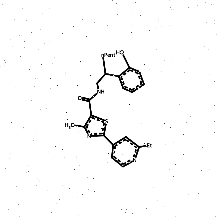 CCCCCC(CNC(=O)c1sc(-c2ccnc(CC)c2)nc1C)c1ccccc1O